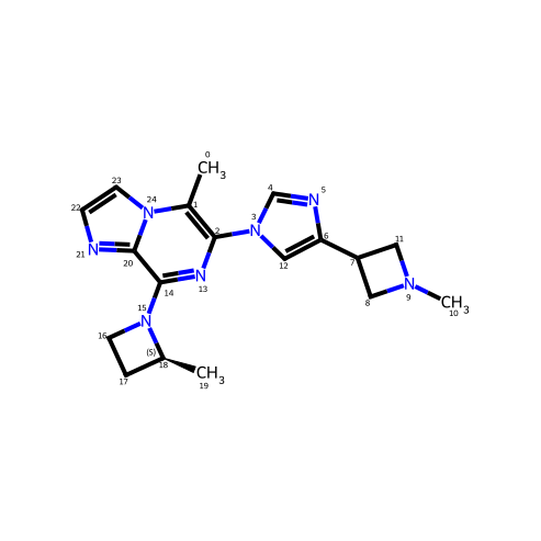 Cc1c(-n2cnc(C3CN(C)C3)c2)nc(N2CC[C@@H]2C)c2nccn12